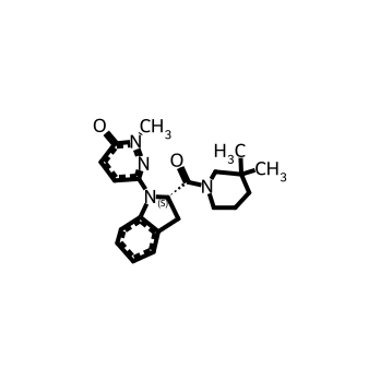 Cn1nc(N2c3ccccc3C[C@H]2C(=O)N2CCCC(C)(C)C2)ccc1=O